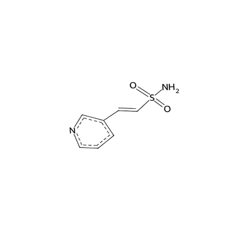 NS(=O)(=O)C=Cc1cccnc1